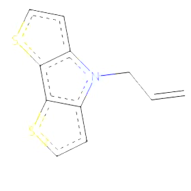 C=CCn1c2ccsc2c2sccc21